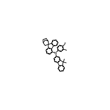 Cc1cc(N(c2ccc3c(c2)C(C)(C)c2ccccc2-3)c2cccc3c2-c2ccccc2C32CC3CCC2C3)ccc1F